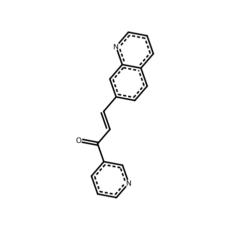 O=C(/C=C/c1ccc2cccnc2c1)c1cccnc1